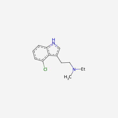 CCN(C)CCc1c[nH]c2cccc(Cl)c12